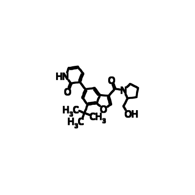 CC(C)(C)c1cc(-c2ccc[nH]c2=O)cc2c(C(=O)N3CCCC3CO)coc12